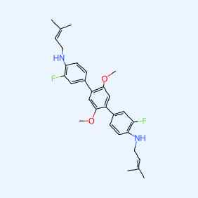 COc1cc(-c2ccc(NCC=C(C)C)c(F)c2)c(OC)cc1-c1ccc(NCC=C(C)C)c(F)c1